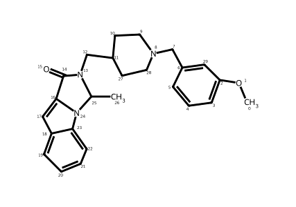 COc1cccc(CN2CCC(CN3C(=O)c4cc5ccccc5n4C3C)CC2)c1